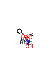 CC(C)(C)OC(=O)N1[C@H]2CC[C@H](C[C@@H]2O)[C@@H]1C(=O)OCc1ccccc1